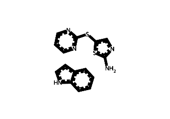 Nc1ncc(Sc2ncccn2)s1.c1ccc2[nH]ccc2c1